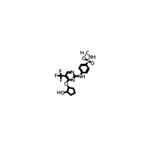 CNS(=O)(=O)c1ccc(Nc2ncc(C(F)(F)F)c(OC3CCCC3O)n2)cc1